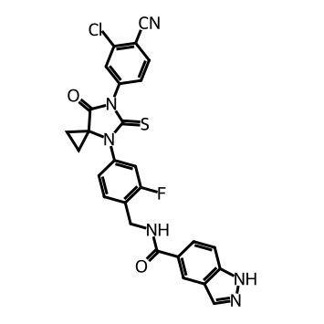 N#Cc1ccc(N2C(=O)C3(CC3)N(c3ccc(CNC(=O)c4ccc5[nH]ncc5c4)c(F)c3)C2=S)cc1Cl